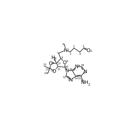 CN(CCCC=O)CC1OC(n2cnc3c(N)ncnc32)C2OC(C)(C)O[C@H]12